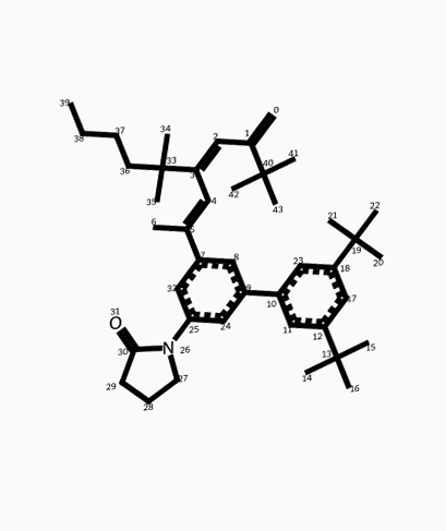 C=C(/C=C(\C=C(/C)c1cc(-c2cc(C(C)(C)C)cc(C(C)(C)C)c2)cc(N2CCCC2=O)c1)C(C)(C)CCCC)C(C)(C)C